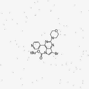 CC(C)(C)OC(=O)n1cc(Br)c2nc(N3CCOCC3)nc(-c3ccncc3)c21